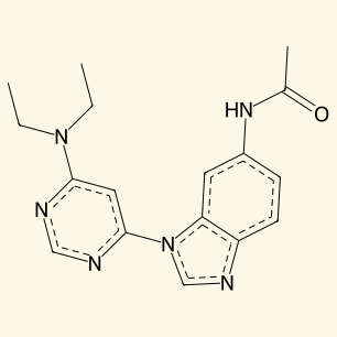 CCN(CC)c1cc(-n2cnc3ccc(NC(C)=O)cc32)ncn1